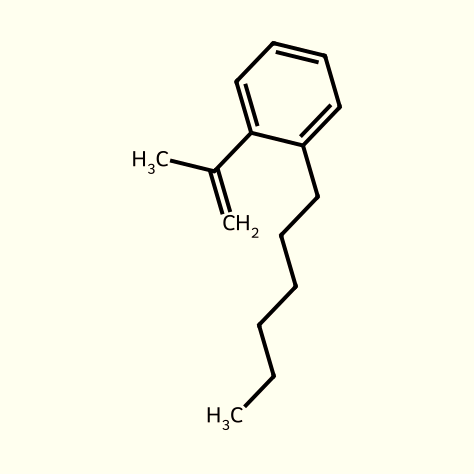 C=C(C)c1ccccc1CCCCCC